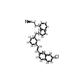 N#CCCc1cccc2ccn(Cc3cccc(C=Cc4ccc5ccc(Cl)cc5n4)c3)c12